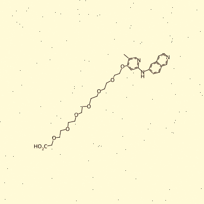 Cc1cnc(Nc2ccc3cnccc3c2)cc1OCCOCCOCCOCCOCCOCCOCC(=O)O